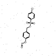 O=POc1ccc(COS(=O)(=O)c2ccc(Cl)cc2)cc1